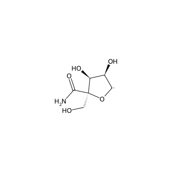 NC(=O)[C@]1(CO)O[CH][C@H](O)[C@@H]1O